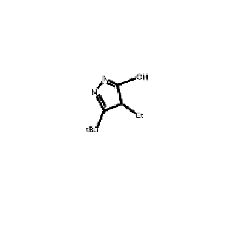 CCC1C(O)=NN=C1C(C)(C)C